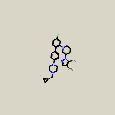 O=C(O)c1cnn(C2CCCN(c3cc(Cl)ccc3-c3ccc(N4CCN(C[C@H]5C[C@@H]5F)CC4)cc3)C2)c1C(F)(F)F